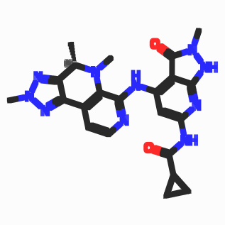 C[C@H]1c2nn(C)nc2-c2ccnc(Nc3cc(NC(=O)C4CC4)nc4[nH]n(C)c(=O)c34)c2N1C